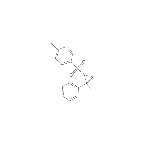 Cc1ccc(S(=O)(=O)N2CC2(C)c2ccccc2)cc1